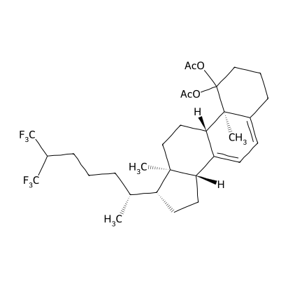 CC(=O)OC1(OC(C)=O)CCCC2=CC=C3[C@@H]4CC[C@H]([C@H](C)CCCC(C(F)(F)F)C(F)(F)F)[C@@]4(C)CC[C@@H]3[C@]21C